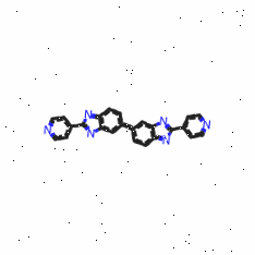 c1cc(C2=Nc3cc(=c4ccc5c(c4)N=C(c4ccncc4)N=5)ccc3=N2)ccn1